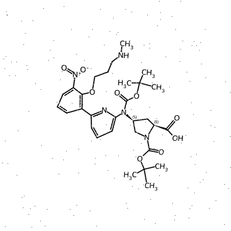 CNCCCOc1c(-c2cccc(N(C(=O)OC(C)(C)C)[C@H]3C[C@@H](C(=O)O)N(C(=O)OC(C)(C)C)C3)n2)cccc1[N+](=O)[O-]